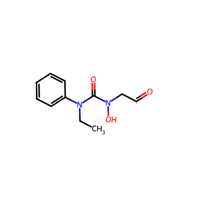 CCN(C(=O)N(O)C[C]=O)c1ccccc1